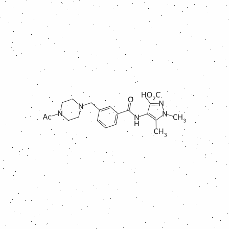 CC(=O)N1CCN(Cc2cccc(C(=O)Nc3c(C(=O)O)nn(C)c3C)c2)CC1